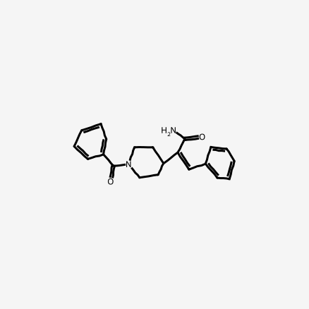 NC(=O)C(=Cc1ccccc1)C1CCN(C(=O)c2ccccc2)CC1